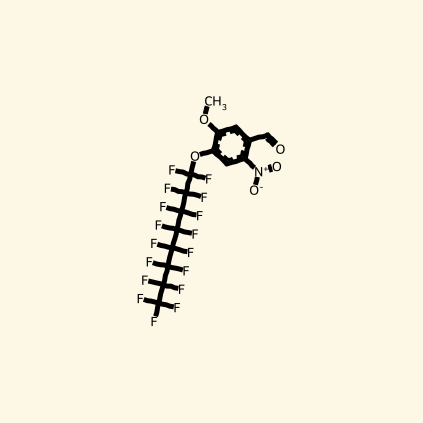 COc1cc(C=O)c([N+](=O)[O-])cc1OC(F)(F)C(F)(F)C(F)(F)C(F)(F)C(F)(F)C(F)(F)C(F)(F)C(F)(F)F